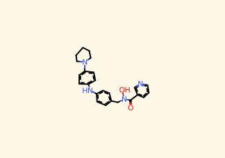 O=C(c1cccnc1)N(O)Cc1ccc(Nc2ccc(N3CCCCC3)cc2)cc1